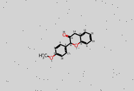 COc1ccc(C2Oc3ccccc3CC2=O)cc1